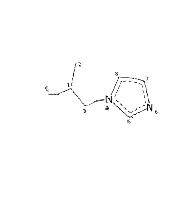 CC(C)Cn1[c]ncc1